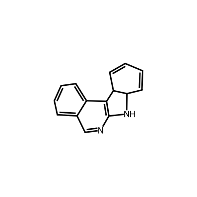 C1=CC2Nc3ncc4ccccc4c3C2C=C1